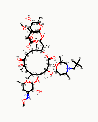 CO/N=C1\C[C@@H](C)O[C@@H](O[C@@H]2[C@@H](C)[C@H](O[C@H]3CC(C)N(CC(C)(C)C)C[C@H](C)O3)[C@@H](C)C(=O)O[C@H]([C@@H](C)CO[C@@H]3O[C@H](C)[C@@H](O)[C@@H](OC)[C@H]3OC)[C@H](C)[C@@H](OC(=O)CC(C)C)[C@@H](C)C(=O)[C@@](C)(O)C[C@@H]2C)[C@@H]1O